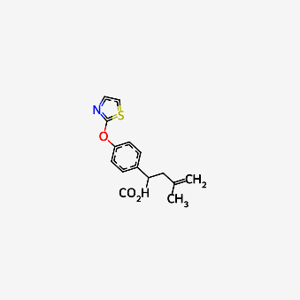 C=C(C)CC(C(=O)O)c1ccc(Oc2nccs2)cc1